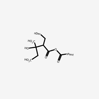 CCCCCCCCCCCC(C(=O)OC(=O)CCCCC)C(O)(CC(=O)O)C(=O)O